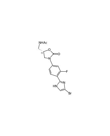 CC(=O)NC[C@H]1CN(c2ccc(-c3nc(Br)c[nH]3)c(F)c2)C(=O)O1